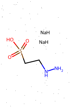 NNCCS(=O)(=O)O.[NaH].[NaH]